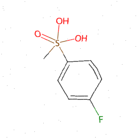 CS(=O)(O)(O)c1ccc(F)cc1